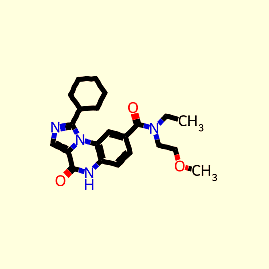 CCN(CCOC)C(=O)c1ccc2[nH]c(=O)c3cnc(C4CCCCC4)n3c2c1